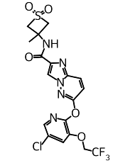 CC1(NC(=O)c2cn3nc(Oc4ncc(Cl)cc4OCC(F)(F)F)ccc3n2)CS(=O)(=O)C1